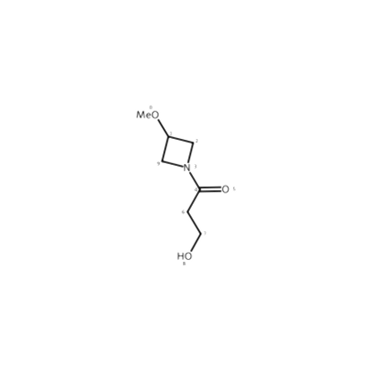 COC1CN(C(=O)CCO)C1